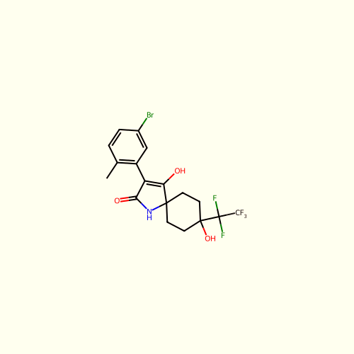 Cc1ccc(Br)cc1C1=C(O)C2(CCC(O)(C(F)(F)C(F)(F)F)CC2)NC1=O